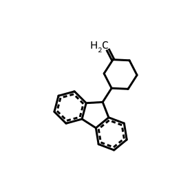 C=C1CCCC(C2c3ccccc3-c3ccccc32)C1